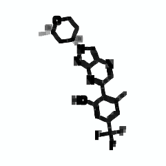 Cc1cc(C(F)(F)F)cc(O)c1-c1cnc2cn([C@H]3CCO[C@@H](C)C3)nc2n1